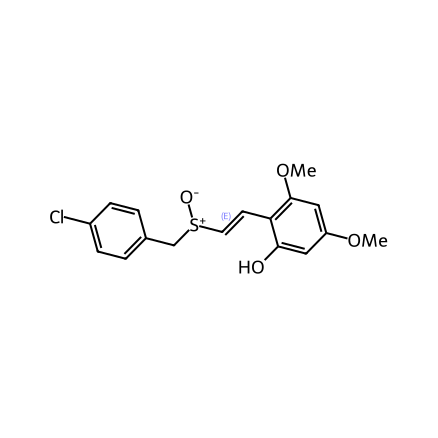 COc1cc(O)c(/C=C/[S+]([O-])Cc2ccc(Cl)cc2)c(OC)c1